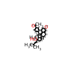 CC(=O)c1ccc(C2C[C@@]3(C)[C@@H](CCC3(O)C#CC(C)C)[C@@H]3CCC4=CC(=O)CCC4=C23)cc1